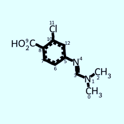 CN(C)C=Nc1ccc(C(=O)O)c(Cl)c1